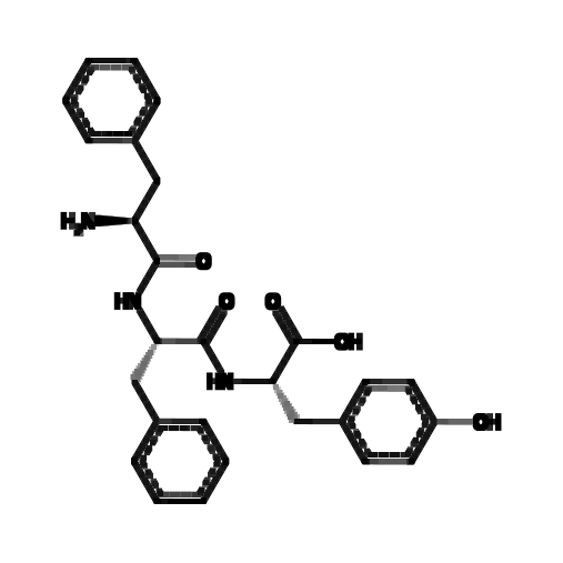 N[C@@H](Cc1ccccc1)C(=O)N[C@@H](Cc1ccccc1)C(=O)N[C@@H](Cc1ccc(O)cc1)C(=O)O